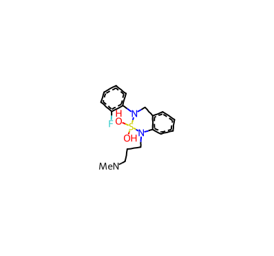 CNCCCN1c2ccccc2CN(c2ccccc2F)S1(O)O